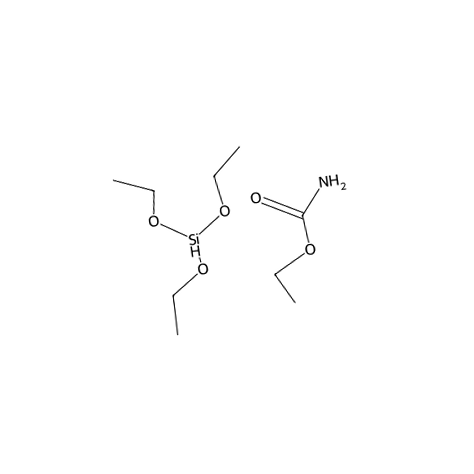 CCOC(N)=O.CCO[SiH](OCC)OCC